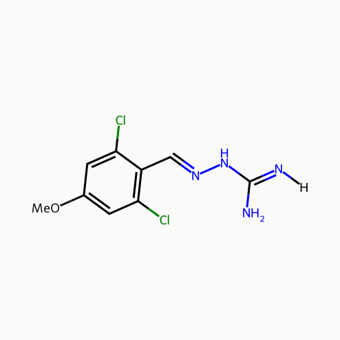 [H]/N=C(\N)NN=Cc1c(Cl)cc(OC)cc1Cl